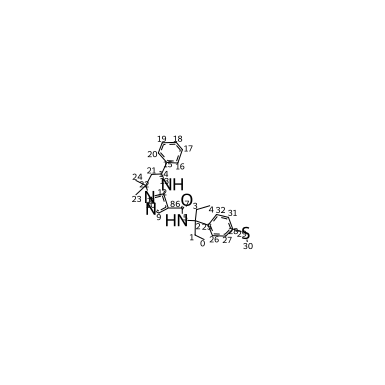 CCC(CC)(NC(=O)c1cnn2c1NC(c1ccccc1)CC2(C)C)c1ccc(SC)cc1